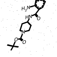 CC(C)(C)OC(=O)N1CCC(NC(=O)c2ccccc2N)CC1